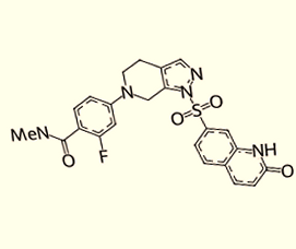 CNC(=O)c1ccc(N2CCc3cnn(S(=O)(=O)c4ccc5ccc(=O)[nH]c5c4)c3C2)cc1F